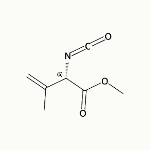 C=C(C)[C@H](N=C=O)C(=O)OC